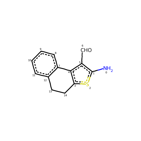 Nc1sc2c(c1C=O)-c1ccccc1CC2